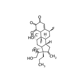 C=C1C[C@H]2[C@@H]3C[C@H](F)C4=CC(=O)C(=O)C(=O)[C@]4(C)[C@@]3(F)[C@@H](O)C[C@]2(C)[C@@]1(CCC)C(=O)CO